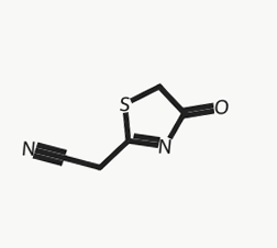 N#CCC1=NC(=O)CS1